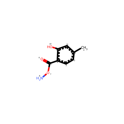 Cc1ccc(C(=O)ON)c(O)c1